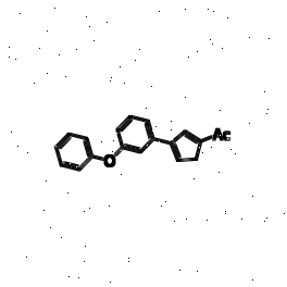 CC(=O)C1=CC(c2cccc(Oc3ccccc3)c2)=CC1